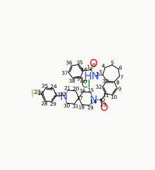 O=C(NC1CCCCc2ccc(C(=O)N3CCC4(CC3)CCN(c3ccc(F)cc3)CC4)cc21)c1ccccc1Cl